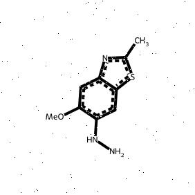 COc1cc2nc(C)sc2cc1NN